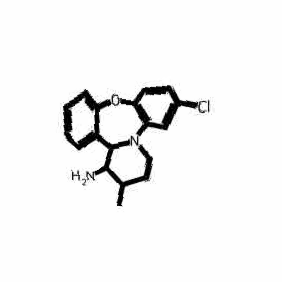 CC1CCN2c3cc(Cl)ccc3Oc3ccccc3C2C1N